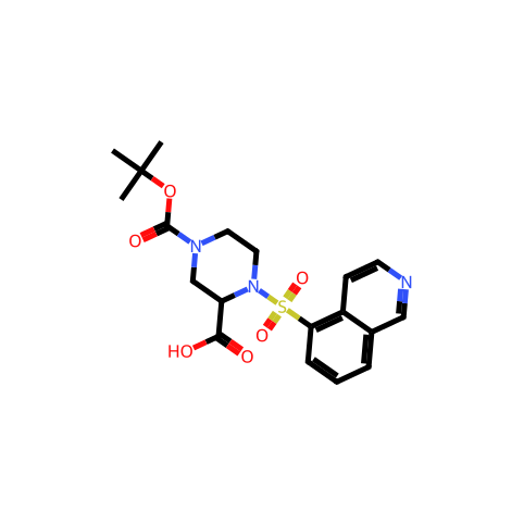 CC(C)(C)OC(=O)N1CCN(S(=O)(=O)c2cccc3cnccc23)C(C(=O)O)C1